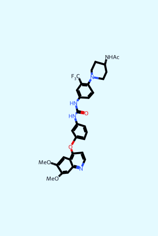 COc1cc2nccc(Oc3cccc(NC(=O)Nc4ccc(N5CCC(NC(C)=O)CC5)c(C(F)(F)F)c4)c3)c2cc1OC